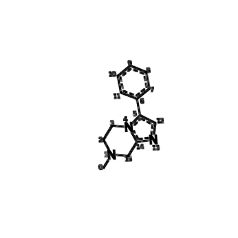 CN1CCn2c(-c3ccccc3)cnc2C1